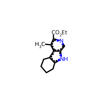 CCOC(=O)c1ncc2[nH]c3c(c2c1C)CCCC3